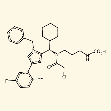 O=C(O)NCCCN(C(=O)CCl)[C@@H](c1cc(-c2cc(F)ccc2F)cn1Cc1ccccc1)C1CCCCC1